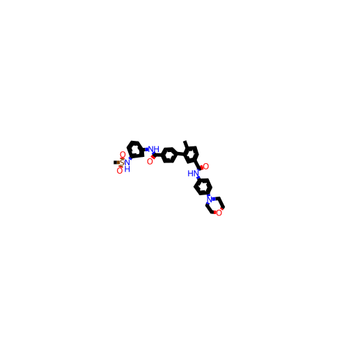 Cc1ccc(C(=O)Nc2ccc(N3CCOCC3)cc2)cc1-c1ccc(C(=O)Nc2cccc(NS(C)(=O)=O)c2)cc1